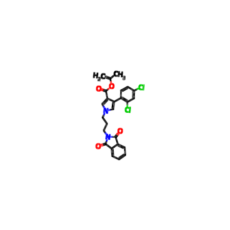 C=C(C)OC(=O)c1cn(CCCN2C(=O)c3ccccc3C2=O)cc1-c1ccc(Cl)cc1Cl